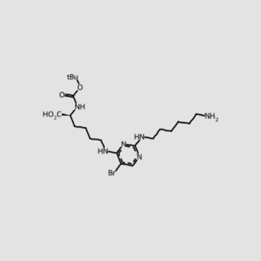 CC(C)(C)OC(=O)N[C@@H](CCCCNc1nc(NCCCCCCN)ncc1Br)C(=O)O